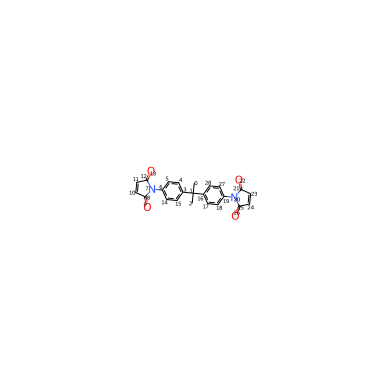 CC(C)(c1ccc(N2C(=O)C=CC2=O)cc1)c1ccc(N2C(=O)C=CC2=O)cc1